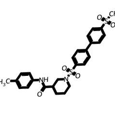 Cc1ccc(NC(=O)C2CCCN(S(=O)(=O)c3ccc(-c4ccc(S(C)(=O)=O)cc4)cc3)C2)cc1